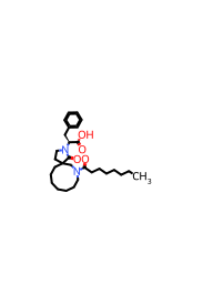 CCCCCCCC(=O)N1CCCCCCCC2(CCN([C@@H](Cc3ccccc3)C(=O)O)C2=O)C1